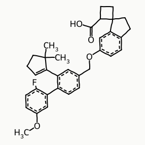 COc1ccc(F)c(-c2ccc(COc3ccc4c(c3)C3(CC4)CCC3C(=O)O)cc2C2=CCCC2(C)C)c1